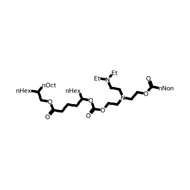 CCCCCCCCCC(=O)OCCN(CCOC(=O)OC(CCCCCC)CCCC(=O)OCC(CCCCCC)CCCCCCCC)CCN(CC)CC